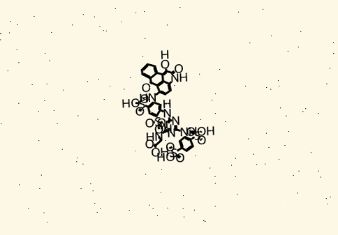 O=C(O)CNc1nc(Nc2cc(S(=O)(=O)O)ccc2S(=O)(=O)O)nc(Nc2cc(Nc3ccc4[nH]c(=O)c(O)c5c4c3C(=O)c3ccccc3-5)c(S(=O)(=O)O)cc2S(=O)(=O)O)n1